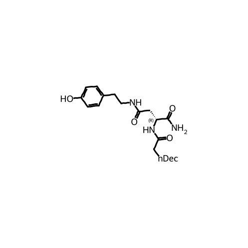 CCCCCCCCCCCC(=O)N[C@H](CC(=O)NCCc1ccc(O)cc1)C(N)=O